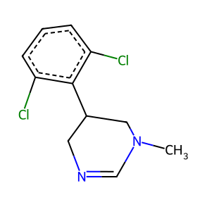 CN1C=NCC(c2c(Cl)cccc2Cl)C1